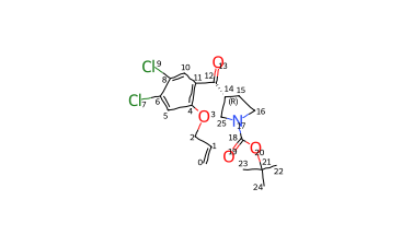 C=CCOc1cc(Cl)c(Cl)cc1C(=O)[C@@H]1CCN(C(=O)OC(C)(C)C)C1